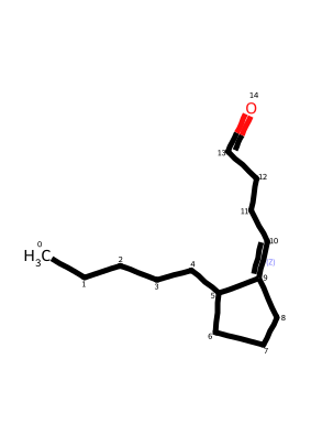 CCCCCC1CCC/C1=C/CCC=O